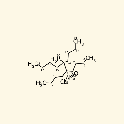 CCCCC(CCCC)C(P)(CCCC)CCCC.[O]=[Al][Cl]